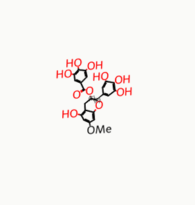 COc1cc(O)c2c(c1)O[C@H](c1cc(O)c(O)c(O)c1)[C@@H](OC(=O)c1cc(O)c(O)c(O)c1)C2